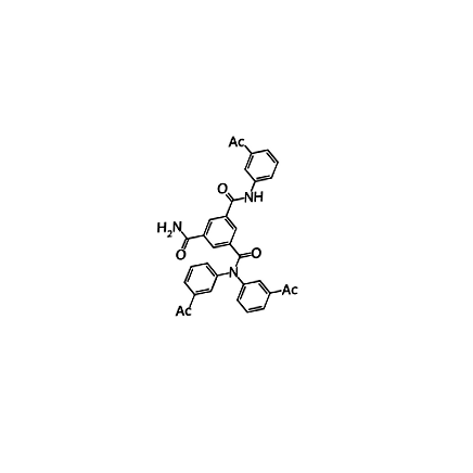 CC(=O)c1cccc(NC(=O)c2cc(C(N)=O)cc(C(=O)N(c3cccc(C(C)=O)c3)c3cccc(C(C)=O)c3)c2)c1